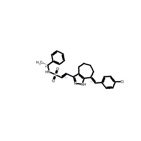 C[C@@H](NS(=O)(=O)/C=C/c1n[nH]c2c1CCCC/C2=C\c1ccc(Cl)cc1)c1ccccc1